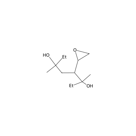 CCC(C)(O)CC(C1CO1)C(C)(O)CC